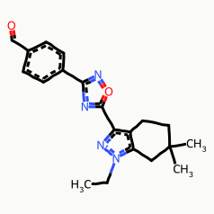 CCn1nc(-c2nc(-c3ccc(C=O)cc3)no2)c2c1CC(C)(C)CC2